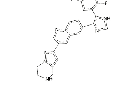 Fc1ccc(Cl)cc1-c1[nH]cnc1-c1ccc2ncc(-c3cc4n(n3)CCNC4)cc2c1